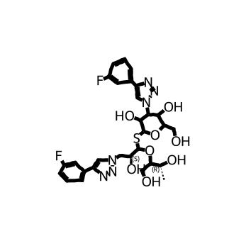 C[C@@H](O)C(CO)OC(SC1OC(CO)C(O)C(n2cc(-c3cccc(F)c3)nn2)C1O)[C@@H](O)Cn1cc(-c2cccc(F)c2)nn1